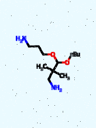 CCCCOC(OCCCN)C(C)(C)CN